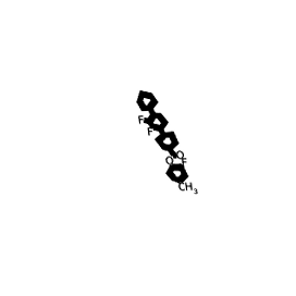 Cc1ccc(OC(=O)c2ccc(-c3ccc(-c4ccccc4)c(F)c3F)cc2)c(F)c1